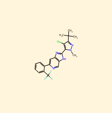 Cn1nc(C(C)(C)C)c(Cl)c1-c1nc2cc(-c3ccccc3C(F)(F)F)ncc2[nH]1